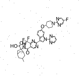 CC1CC2CC(C1)C(NC(=O)c1cnc(-c3cn(-c4ncccn4)c4cc(OC5CCN(c6ncc(F)cn6)CC5)ccc34)nc1C(F)(F)F)(C(=O)O)C2